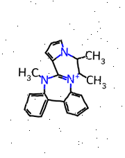 CC1C(C)[N+]2=C(c3cccn31)N(C)c1ccccc1-c1ccccc12